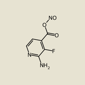 Nc1nccc(C(=O)ON=O)c1F